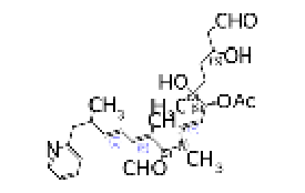 CC(=O)O[C@@H](/C=C/[C@H](C)[C@H](C=O)/C(C)=C/C=C/C(C)Cc1ccccn1)[C@@](C)(O)CC[C@H](O)CC=O